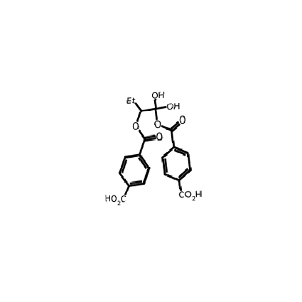 CCC(OC(=O)c1ccc(C(=O)O)cc1)C(O)(O)OC(=O)c1ccc(C(=O)O)cc1